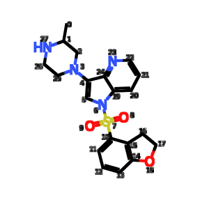 CC1CN(c2cn(S(=O)(=O)c3cccc4c3CCO4)c3cccnc23)CCN1